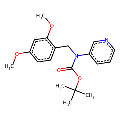 COc1ccc(CN(C(=O)OC(C)(C)C)c2cccnc2)c(OC)c1